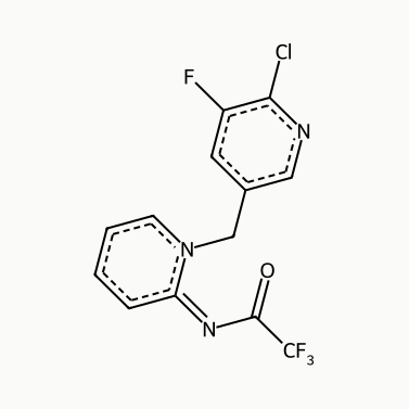 O=C(/N=c1/ccccn1Cc1cnc(Cl)c(F)c1)C(F)(F)F